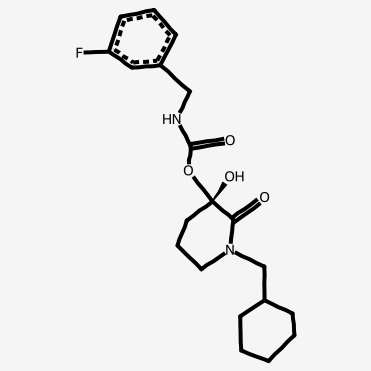 O=C(NCc1cccc(F)c1)O[C@@]1(O)CCCN(CC2CCCCC2)C1=O